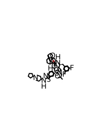 CC(C)CN(C[C@@H](O)[C@H](Cc1cc(F)cc(F)c1)NC(=O)OC1=C2COC3OCC1CCC23)S(=O)(=O)c1ccc2nc(NC3CCN(C4CCCC4)CC3)sc2c1